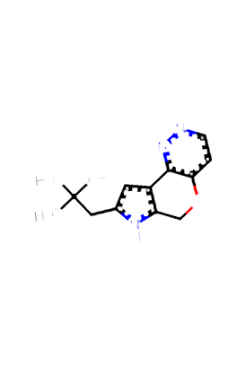 CC(C)(C)Cc1cc2c([nH]1)COc1ccnnc1-2